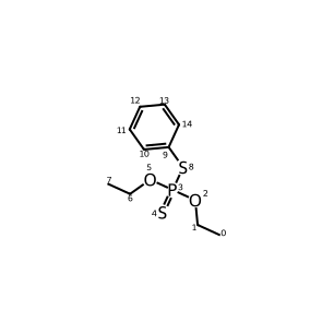 CCOP(=S)(OCC)Sc1ccccc1